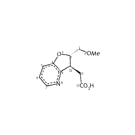 COC[C@H]1Oc2cccnc2[C@@H]1CC(=O)O